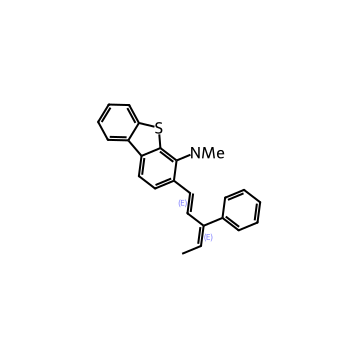 C/C=C(\C=C\c1ccc2c(sc3ccccc32)c1NC)c1ccccc1